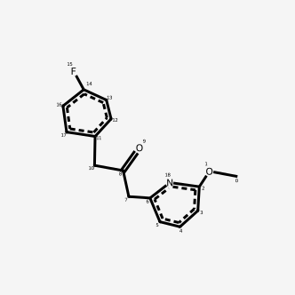 COc1cccc(CC(=O)Cc2ccc(F)cc2)n1